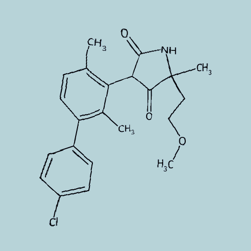 COCCC1(C)NC(=O)C(c2c(C)ccc(-c3ccc(Cl)cc3)c2C)C1=O